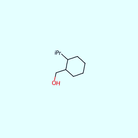 CC(C)C1CCCCC1CO